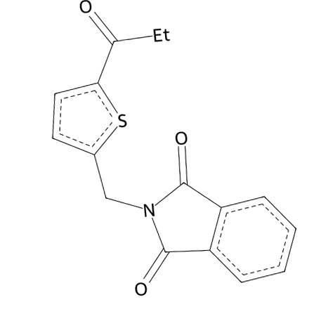 CCC(=O)c1ccc(CN2C(=O)c3ccccc3C2=O)s1